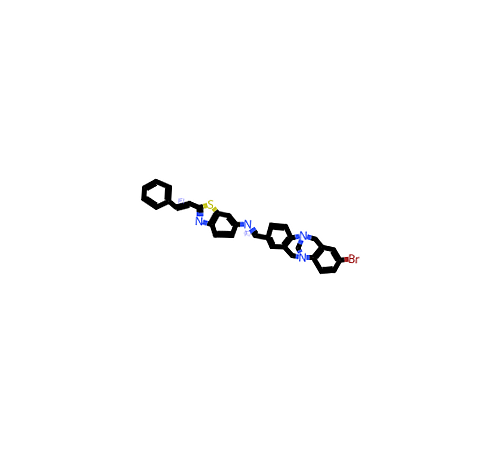 Brc1ccc2c(c1)CN1CN2Cc2cc(/C=N/c3ccc4nc(/C=C/c5ccccc5)sc4c3)ccc21